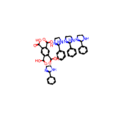 O=C(O)c1cc(C(=O)O)c(C(=O)O)cc1C(=O)O.c1ccc(C2=NCCN2)cc1.c1ccc(C2=NCCN2)cc1.c1ccc(C2=NCCN2)cc1.c1ccc(C2=NCCN2)cc1